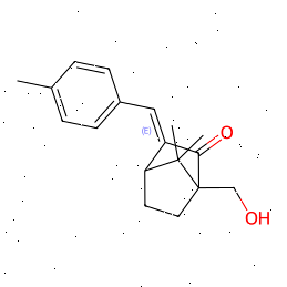 Cc1ccc(/C=C2/C(=O)C3(CO)CCC2C3(C)C)cc1